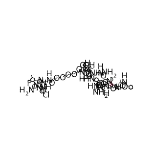 CC[C@H](C)[C@@H]([C@@H](CC(=O)N1CCC[C@H]1C[C@@H](C)C(=O)N[C@H](C)[C@@H](O)c1ccccc1)OC)N(C)C(=O)[C@@H](NC(=O)[C@H](C(C)C)N(C)C(=O)OCc1ccc(NC(=O)[C@H](CCCNC(N)=O)NC(=O)[C@@H](NC(=O)[C@H](CS(=O)(=O)O)NC(=O)CCOCCOCCOCCOCCC(=O)NCCNc2ncc(-c3cc(C)cc(F)c3)c(N3CCC(N)CC3)c2-c2nc3ccc(Cl)cc3[nH]2)C(C)C)cc1C(=O)NCCN)C(C)C